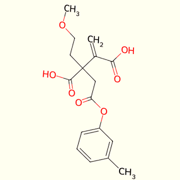 C=C(C(=O)O)C(CCOC)(CC(=O)Oc1cccc(C)c1)C(=O)O